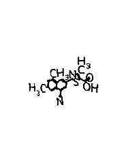 Cc1cc(C)c2cc(-c3nc(C)c(C(=O)O)s3)cc(C#N)c2c1